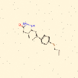 C=CCSc1ccc(/C(C)=C/C2NNC(=O)CC2C)cc1